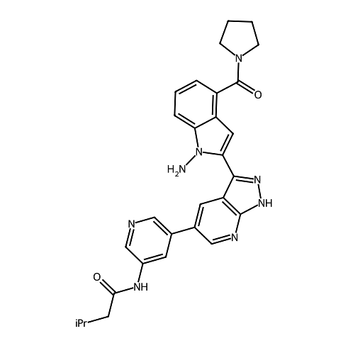 CC(C)CC(=O)Nc1cncc(-c2cnc3[nH]nc(-c4cc5c(C(=O)N6CCCC6)cccc5n4N)c3c2)c1